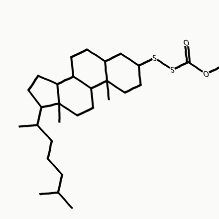 COC(=O)SSC1CCC2(C)C(CCC3C2CCC2(C)C(C(C)CCCC(C)C)CCC32)C1